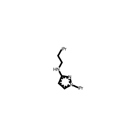 CC(C)CCNc1ccn(C(C)C)n1